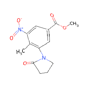 COC(=O)c1cc(N2CCCC2=O)c(C)c([N+](=O)[O-])c1